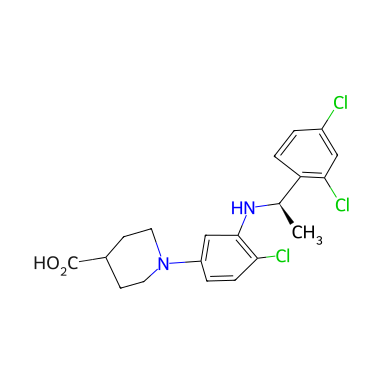 C[C@@H](Nc1cc(N2CCC(C(=O)O)CC2)ccc1Cl)c1ccc(Cl)cc1Cl